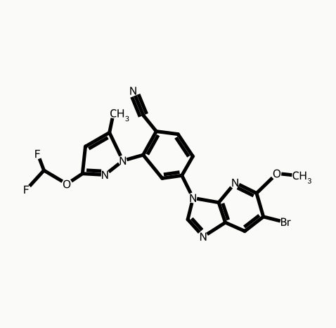 COc1nc2c(cc1Br)ncn2-c1ccc(C#N)c(-n2nc(OC(F)F)cc2C)c1